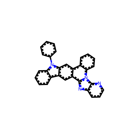 c1ccc(-n2c3ccccc3c3cc4c(cc32)c2ccccc2n2c3ncccc3nc42)cc1